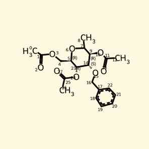 CC(=O)OC[C@H]1OC(C)[C@@H](OC(C)=O)[C@H](OCc2ccccc2)[C@@H]1OC(C)=O